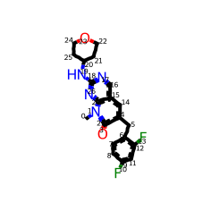 Cn1c(=O)c(Cc2ccc(F)cc2F)cc2cnc(NC3CCOCC3)nc21